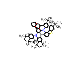 CC(C)(C)c1ccc(N2c3cc(-c4ccccc4)cc4c3B(c3cc5c(cc3N4c3ccc4c(c3)C(C)(C)CCC4(C)C)C(C)(C)CCC5(C)C)c3ccc4sc5cc(C(C)(C)C)ccc5c4c32)c(-c2ccccc2)c1